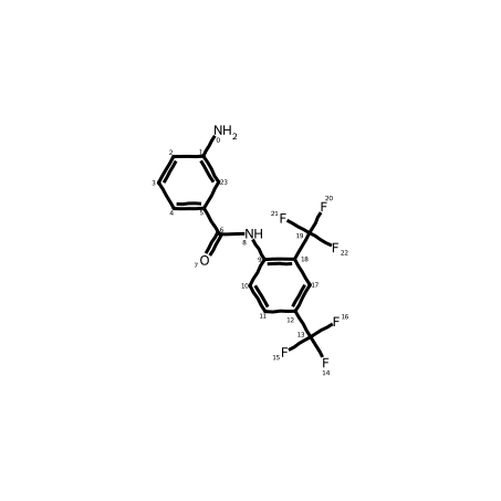 Nc1cccc(C(=O)Nc2ccc(C(F)(F)F)cc2C(F)(F)F)c1